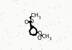 CCOC(=O)C1C2CCC=CC(OC(C)=O)CC21